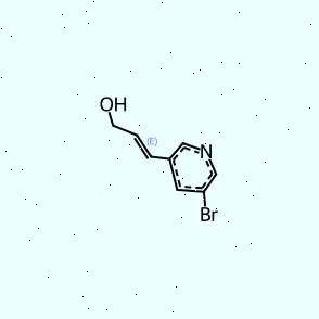 OC/C=C/c1cncc(Br)c1